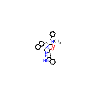 CN(Cc1ccccc1)C(=O)[C@@H](Cc1ccc2ccccc2c1)N1CCN[C@H](Cc2c[nH]c3ccccc23)C1=O